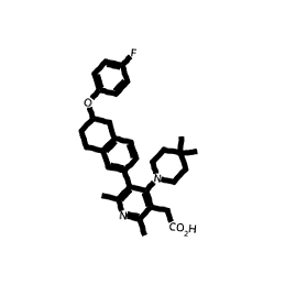 Cc1nc(C)c(-c2ccc3c(c2)CCC(Oc2ccc(F)cc2)C3)c(N2CCC(C)(C)CC2)c1CC(=O)O